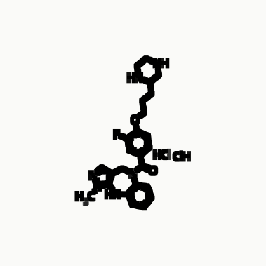 Cl.Cl.Cn1ncc2c1Nc1ccccc1N(C(=O)c1ccc(OCCCC3CNCCN3)c(F)c1)C2